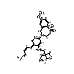 C=C/C=C\C=C1/CN=C(N2CCS(=O)(=O)c3ccc(OC)cc3C2)C=C1NCC1(CN)COC1